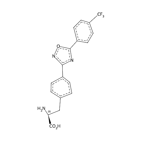 N[C@@H](Cc1ccc(-c2noc(-c3ccc(C(F)(F)F)cc3)n2)cc1)C(=O)O